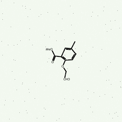 COC(=O)c1cc(C)ccc1OCC=O